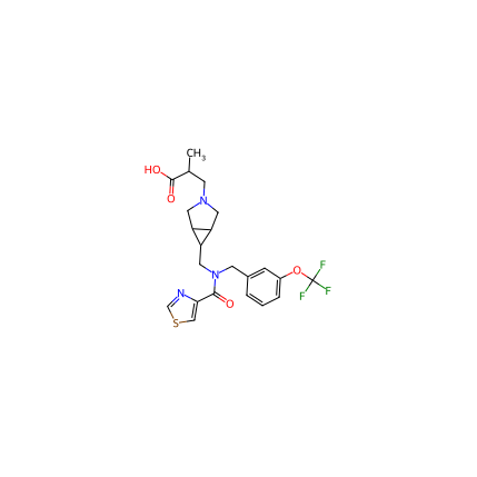 CC(CN1CC2C(C1)C2CN(Cc1cccc(OC(F)(F)F)c1)C(=O)c1cscn1)C(=O)O